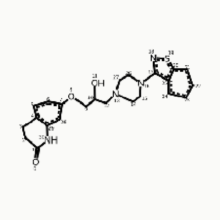 O=C1CCc2ccc(OCC(O)CN3CCN(c4nsc5ccccc45)CC3)cc2N1